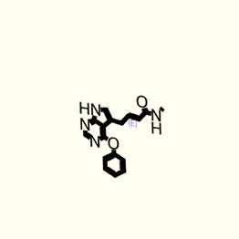 CNC(=O)/C=C/Cc1c[nH]c2ncnc(Oc3ccccc3)c12